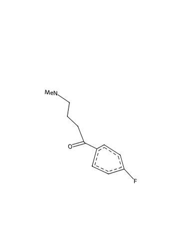 CNCCCC(=O)c1ccc(F)cc1